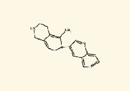 NC1=C2CCNCC2=CCN1c1cnc2ccccc2c1